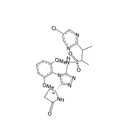 COc1cccc(OC)c1-n1c(NS(=O)(=O)C(C)C(C)c2ncc(Cl)cn2)nnc1[C@H]1CCC(=O)N1